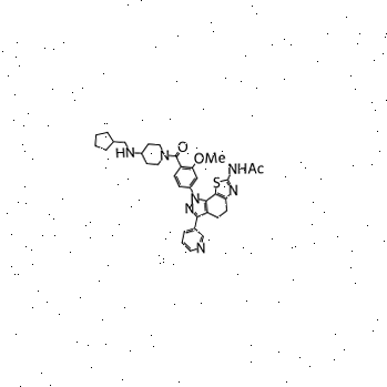 COc1cc(-n2nc(-c3cccnc3)c3c2-c2sc(NC(C)=O)nc2CC3)ccc1C(=O)N1CCC(NCC2CCCC2)CC1